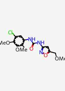 COCc1cc(NC(=O)Nc2cc(Cl)c(OC)cc2OC)no1